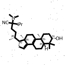 CC(C)C(C#N)(CC[C@@H](C)[C@H]1CC=C2C3=C(CC[C@@]21C)[C@@]1(C)CC[C@H](O)C(C)(C)[C@@H]1CC3)N(C)C